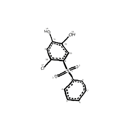 O=S(=O)(c1ccccc1)c1cc(O)c(O)cc1Cl